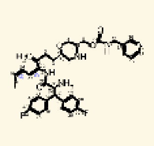 C=C(CC[C@@H]1CN[C@H](COC(=O)NCc2cccnc2)CO1)/C(=C\C=C/F)NC(=O)[C@@H](N)C(c1ccc(F)cc1)c1ccc(F)cc1